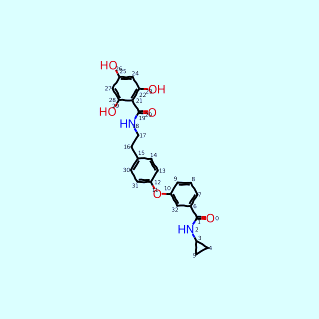 O=C(NC1CC1)c1cccc(Oc2ccc(CCNC(=O)c3c(O)cc(O)cc3O)cc2)c1